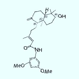 C=C1CC[C@@H]2C(C)(C)[C@H](O)CC[C@@]2(C)[C@@H]1CCC(C)=CC(=O)Nc1cc(OC)cc(OC)c1